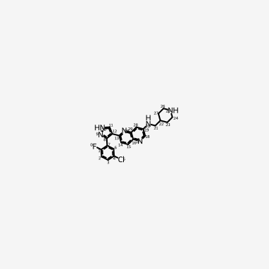 Fc1ccc(Cl)cc1-c1n[nH]cc1-c1ccc2ncc(NCC3CCNCC3)cc2n1